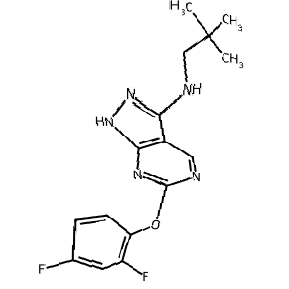 CC(C)(C)CNc1n[nH]c2nc(Oc3ccc(F)cc3F)ncc12